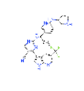 CC(Nc1ncc(C#N)c(-c2c[nH]c3ncc(C(F)(F)F)cc23)n1)c1ccc(NC2CCNC2)nc1